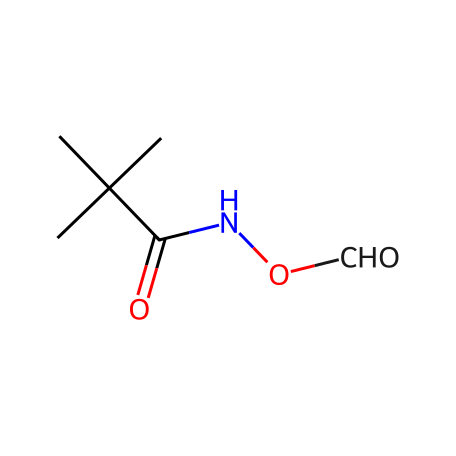 CC(C)(C)C(=O)NOC=O